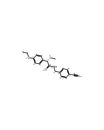 CCOc1ccc([C@H](OC)C(=O)NCc2ccc(C#N)cc2)cc1